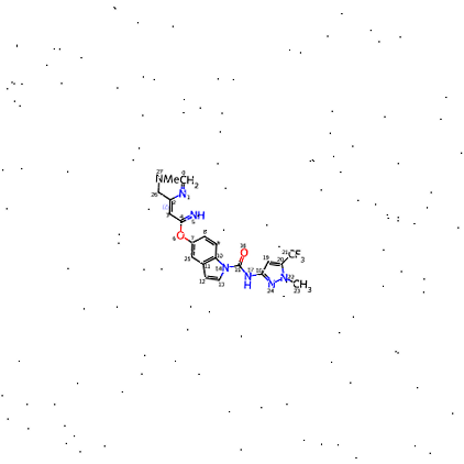 C=N/C(=C\C(=N)Oc1ccc2c(ccn2C(=O)Nc2cc(C(F)(F)F)n(C)n2)c1)CNC